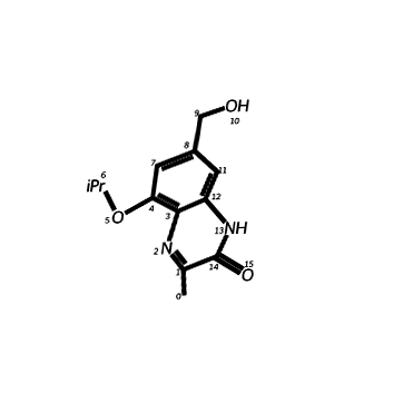 Cc1nc2c(OC(C)C)cc(CO)cc2[nH]c1=O